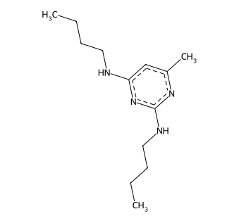 CCCCNc1cc(C)nc(NCCCC)n1